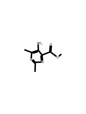 COC(=O)c1nc(C)nc(C)c1N